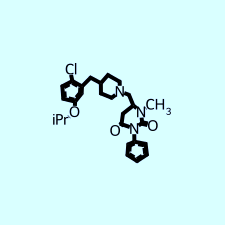 CC(C)Oc1ccc(Cl)c(CC2CCN(CC3CC(=O)N(c4ccccc4)C(=O)N3C)CC2)c1